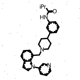 CC(C)C(=O)Nc1cccc(C2CCN(Cc3cccc4ccn(-c5cccnc5)c34)CC2)c1